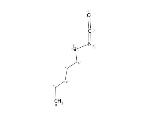 CCCCC[Si]N=C=O